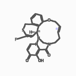 O=C1c2c(O)c(=O)ccn2N2CN1CC/C=C/COc1cccc3c1[C@@H]2c1cccc(F)c1SC3